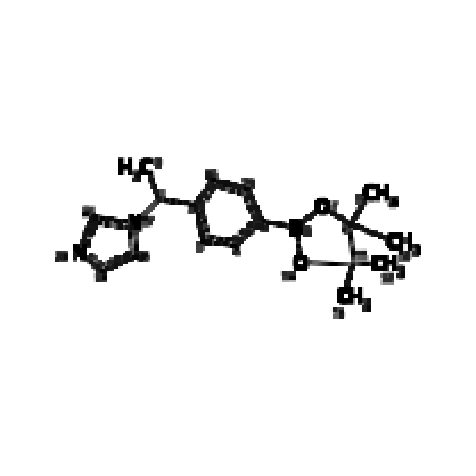 CC(c1ccc(B2OC(C)(C)C(C)(C)O2)cc1)n1ccnc1